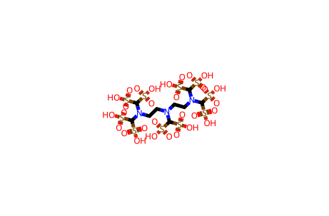 O=S(=O)(O)C(N(CCN(C(S(=O)(=O)O)S(=O)(=O)O)C(S(=O)(=O)O)S(=O)(=O)O)CCN(C(S(=O)(=O)O)S(=O)(=O)O)C(S(=O)(=O)O)S(=O)(=O)O)S(=O)(=O)O